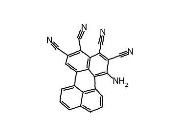 N#Cc1cc2c3cccc4cccc(c5c(N)c(C#N)c(C#N)c(c1C#N)c25)c43